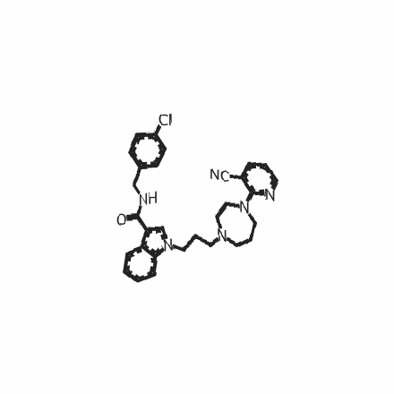 N#Cc1cccnc1N1CCCN(CCCn2cc(C(=O)NCc3ccc(Cl)cc3)c3ccccc32)CC1